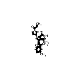 C=CC(=O)N1CCC(n2cc(-c3oc4ccc(C)cc4c3C)c3c(N)n[nH]c(=O)c32)C1